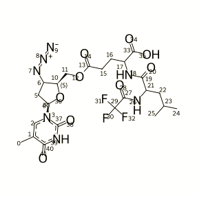 Cc1cn([C@H]2CC(N=[N+]=[N-])[C@@H](COC(=O)CCC(NC(=O)C(CC(C)C)NC(=O)C(F)(F)F)C(=O)O)O2)c(=O)[nH]c1=O